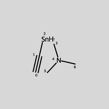 C#[C][SnH].CN(C)C